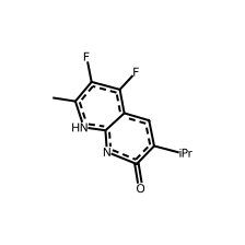 Cc1[nH]c2nc(=O)c(C(C)C)cc-2c(F)c1F